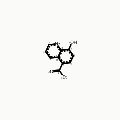 CCC(=O)c1ccc(O)c2ncccc12